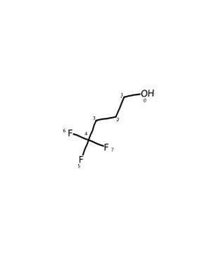 O[CH]CCC(F)(F)F